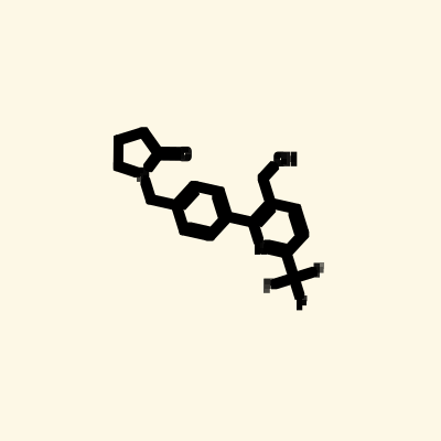 O=C1CCCN1Cc1ccc(-c2nc(C(F)(F)F)ccc2CO)cc1